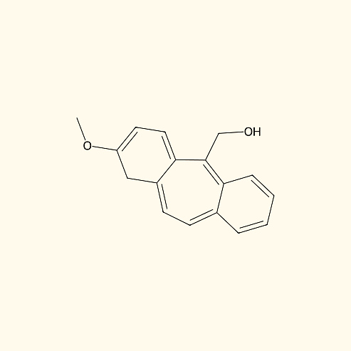 COC1=CC=C2C(=CC=c3ccccc3=C2CO)C1